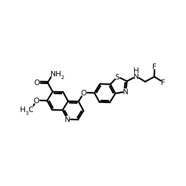 COc1cc2nccc(Oc3ccc4nc(NCC(F)F)sc4c3)c2cc1C(N)=O